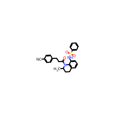 CC1CCc2cccc(NS(=O)(=O)c3ccccc3)c2N1C(=O)CCc1ccc(C#N)cc1